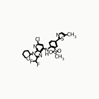 Cc1cnc(-c2ccc(Nc3cc(Cl)nc4c3nc(C(F)F)n4C3CCCCO3)c(S(C)(=O)=O)c2)s1